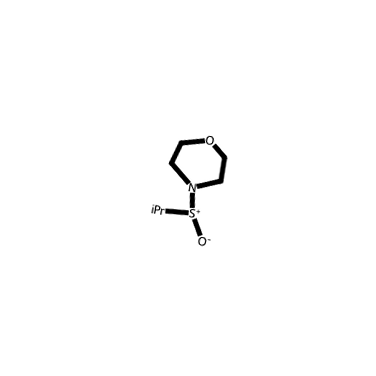 CC(C)[S+]([O-])N1CCOCC1